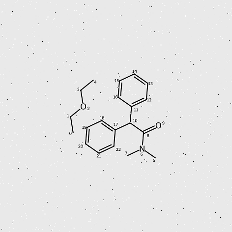 CCOCC.CN(C)C(=O)C(c1ccccc1)c1ccccc1